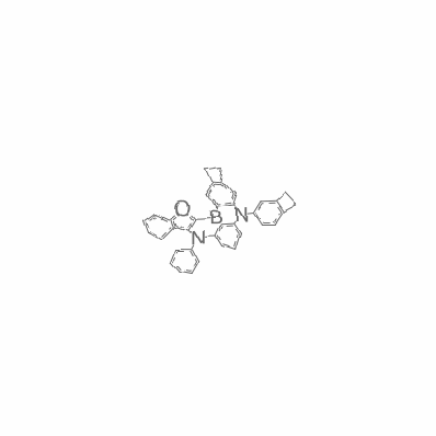 c1ccc(N2c3cccc4c3B(c3cc5c(cc3N4c3ccc4c(c3)CC4)CC5)c3oc4ccccc4c32)cc1